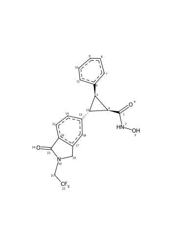 O=C(NO)[C@@H]1[C@H](c2ccccc2)[C@H]1c1ccc2c(c1)CN(CC(F)(F)F)C2=O